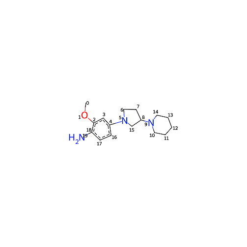 COc1cc(N2CCC(N3CCCCC3)C2)ccc1N